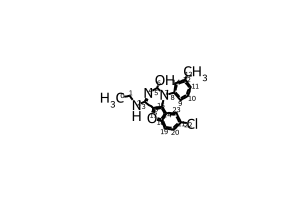 CCNC1=NC(O)N(c2cccc(C)c2)c2c1oc1ccc(Cl)cc21